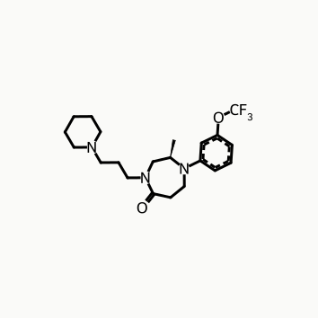 C[C@@H]1CN(CCCN2CCCCC2)C(=O)CCN1c1cccc(OC(F)(F)F)c1